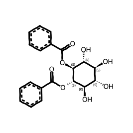 O=C(O[C@H]1[C@H](O)[C@@H](O)[C@H](O)[C@@H](O)[C@@H]1OC(=O)c1ccccc1)c1ccccc1